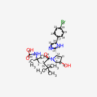 CC(C)(C[C@H](C(=O)N1C[C@H](O)C[C@H]1c1ncc(-c2ccc(Br)cc2)[nH]1)C(C)(C)C)NC(=O)O